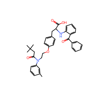 Cc1cccc(N(CCOc2ccc(CC(Nc3ccccc3C(=O)c3ccccc3)C(=O)O)cc2)C(=O)CC(C)(C)C)c1